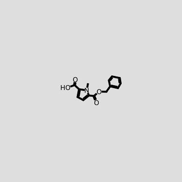 Cn1c(C(=O)O)ccc1C(=O)OCc1ccccc1